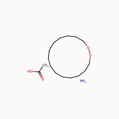 C1CCCCCCCOOCCCCCC1.CC(=O)O.N